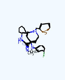 C/N=C(/NC1CCCCC1)C1(N(C=O)c2cccc(F)c2)CCN(Cc2cccs2)CC1